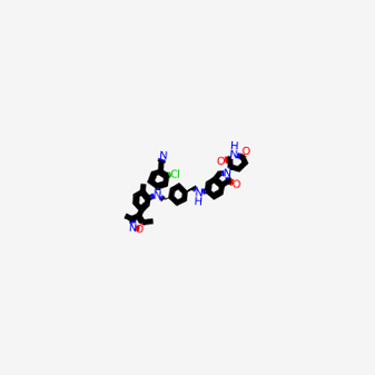 Cc1ccc(-c2c(C)noc2C)cc1N(C[C@H]1CC[C@H](CNc2ccc3c(c2)CN(C2CCC(=O)NC2=O)C3=O)CC1)c1ccc(C#N)c(Cl)c1